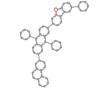 c1ccc(-c2ccc3oc4cc(-c5ccc6c(-c7ccccc7)c7ccc(-c8ccc9c(ccc%10ccccc%109)c8)cc7c(-c7ccccc7)c6c5)ccc4c3c2)cc1